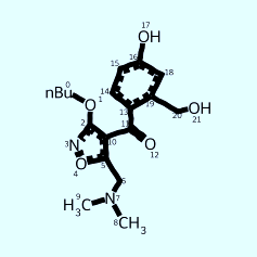 CCCCOc1noc(CN(C)C)c1C(=O)c1ccc(O)cc1CO